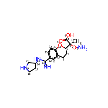 C[C@@](ON)(C(=O)O)[C@H]1CCc2cc(C(=N)N[C@H]3CCNC3)ccc2O1